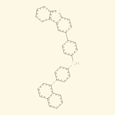 c1ccc2c(-c3ccc(Nc4ccc(-c5ccc6oc7ccccc7c6c5)cc4)cc3)cccc2c1